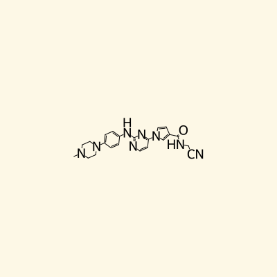 CN1CCN(c2ccc(Nc3nccc(-n4ccc(C(=O)NCC#N)c4)n3)cc2)CC1